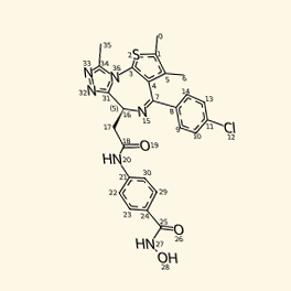 Cc1sc2c(c1C)C(c1ccc(Cl)cc1)=N[C@@H](CC(=O)Nc1ccc(C(=O)NO)cc1)c1nnc(C)n1-2